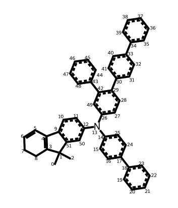 CC1(C)C2=C(C=CCC2)c2ccc(N(c3ccc(-c4ccccc4)cc3)c3ccc(-c4ccc(-c5ccccc5)cc4)c(-c4ccccc4)c3)cc21